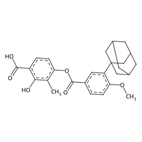 COc1ccc(C(=O)Oc2ccc(C(=O)O)c(O)c2C)cc1C12CC3CC(CC(C3)C1)C2